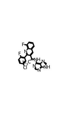 C[C@H](Nc1ncnc2[nH]cnc12)c1cc2cccc(F)c2nc1-c1cc(Cl)ccc1F